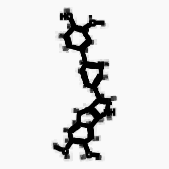 COc1cc(-c2ccc(-c3n[nH]c4c3Cc3cc(OC)c(OC)cc3-4)cn2)ccc1O